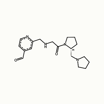 O=Cc1ccnc(CNCC(=O)N2CCC[C@@H]2CN2CCCC2)c1